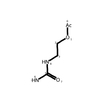 CC(=O)OCCNC([NH])=O